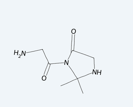 CC1(C)NCC(=O)N1C(=O)CN